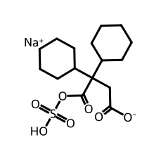 O=C([O-])CC(C(=O)OS(=O)(=O)O)(C1CCCCC1)C1CCCCC1.[Na+]